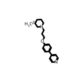 C[C@@H]1CCCN(CCCOc2ccc(-c3ccncc3)cc2)C1